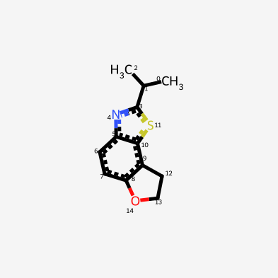 CC(C)c1nc2ccc3c(c2s1)CCO3